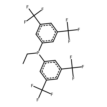 CCP(c1cc(C(F)(F)F)cc(C(F)(F)F)c1)c1cc(C(F)(F)F)cc(C(F)(F)F)c1